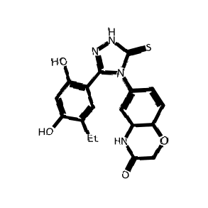 CCc1cc(-c2n[nH]c(=S)n2C2=CC3NC(=O)COC3C=C2)c(O)cc1O